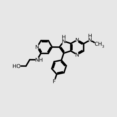 CNc1cnc2c(-c3ccc(F)cc3)c(-c3ccnc(NCCO)c3)[nH]c2n1